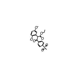 CCOC(=O)C(C(=O)c1ccc(S(C)(=O)=O)cc1)c1cc(OC)ccc1OC